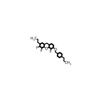 CCCc1ccc(COc2ccc3c(c2F)Oc2c(cc(CCC)c(F)c2F)C3)cc1